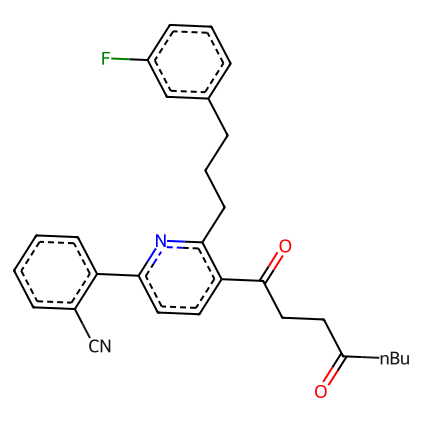 CCCCC(=O)CCC(=O)c1ccc(-c2ccccc2C#N)nc1CCCc1cccc(F)c1